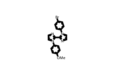 COc1ccc(-n2ccnc2-c2nccn2-c2ccc(Br)cc2)cc1